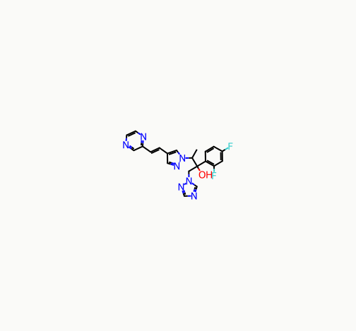 CC(n1cc(C=Cc2cnccn2)cn1)C(O)(Cn1cncn1)c1ccc(F)cc1F